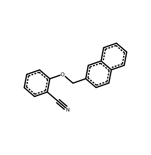 N#Cc1ccccc1OCc1ccc2ccccc2c1